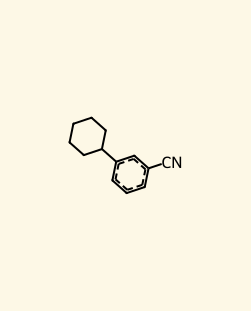 N#Cc1cccc(C2CCCCC2)c1